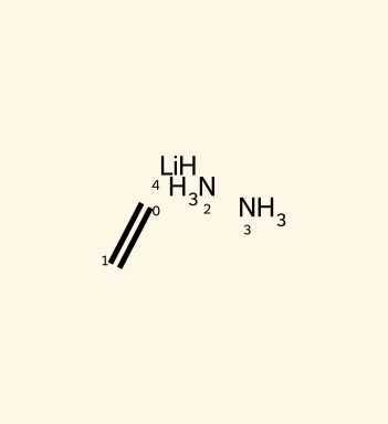 C=C.N.N.[LiH]